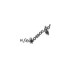 CCOCCn1ncn(-c2ccc(N3CCN(c4ccc(OCC5COC(Cn6cncn6)(c6ccc(F)cc6F)O5)cc4)CC3)cc2)c1=O